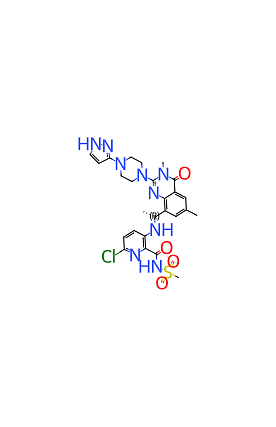 Cc1cc([C@@H](C)Nc2ccc(Cl)nc2C(=O)NS(C)(=O)=O)c2nc(N3CCN(c4cc[nH]n4)CC3)n(C)c(=O)c2c1